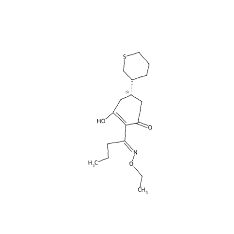 CCCC(=NOCC)C1=C(O)C[C@H](C2CCCSC2)CC1=O